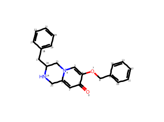 O=c1cc2n(cc1OCc1ccccc1)CC(Cc1ccccc1)NC2